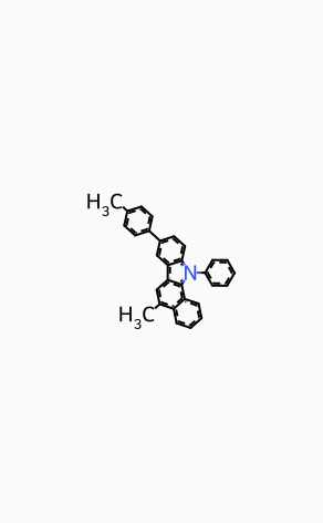 Cc1ccc(-c2ccc3c(c2)c2cc(C)c4ccccc4c2n3-c2ccccc2)cc1